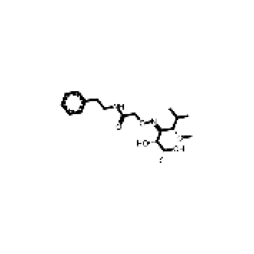 CO[C@H](/C(=N/OCC(=O)NCCc1ccccc1)[C@@H](O)[C@@H](C)O)C(C)C